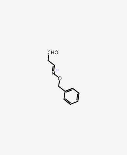 O=CC/C=N/OCc1ccccc1